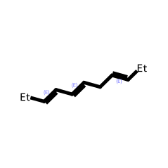 [CH2]C/C=C/C/C=C/C=C/CC